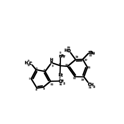 CCCC(CC)(Pc1c(C)cccc1C(F)(F)F)c1cc(C)cc(C(C)(C)C)c1O